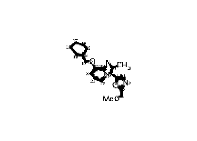 COCc1nnc(-c2c(C)nc3c(OCC4CCCCC4)cccn23)o1